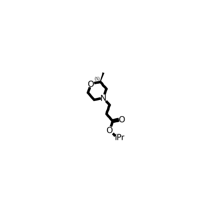 CC(C)OC(=O)CCN1CCO[C@@H](C)C1